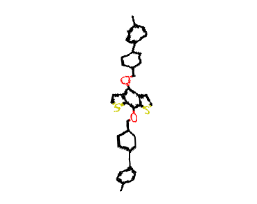 Cc1ccc(C2CCC(COc3c4ccsc4c(OCC4CCC(c5ccc(C)cc5)CC4)c4sccc34)CC2)cc1